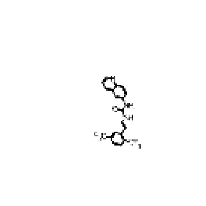 O=C(N/C=C/c1cc(C(F)(F)F)ccc1C(F)(F)F)Nc1ccc2ncccc2c1